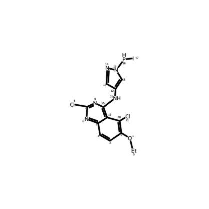 CCOc1ccc2nc(Cl)nc(Nc3cnn(PI)c3)c2c1Cl